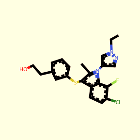 CCn1cc(-n2c(C)c(Sc3cccc(CCO)c3)c3ccc(Cl)c(F)c32)cn1